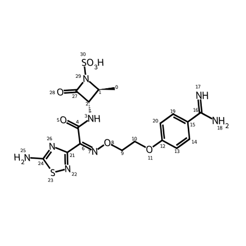 C[C@H]1[C@H](NC(=O)/C(=N\OCCOc2ccc(C(=N)N)cc2)c2nsc(N)n2)C(=O)N1S(=O)(=O)O